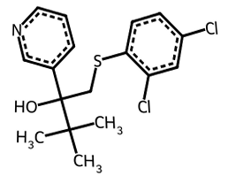 CC(C)(C)C(O)(CSc1ccc(Cl)cc1Cl)c1cccnc1